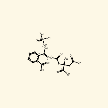 O=C(O)CC(O)(CC(=O)O)C(=O)O.O=C(O)c1ccccc1C(=O)O.O=P(O)(O)O